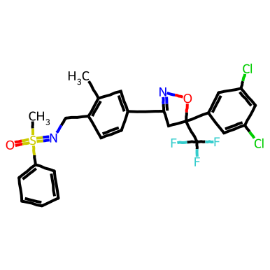 Cc1cc(C2=NOC(c3cc(Cl)cc(Cl)c3)(C(F)(F)F)C2)ccc1CN=S(C)(=O)c1ccccc1